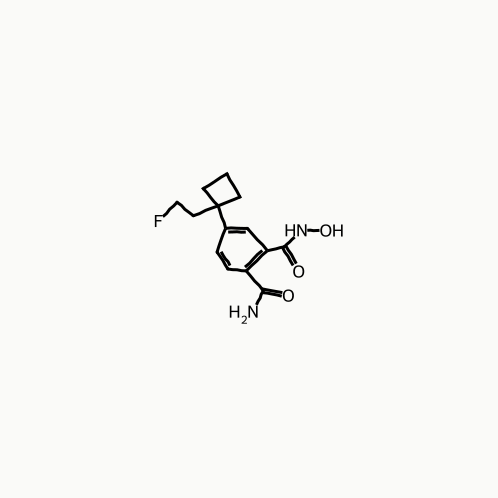 NC(=O)c1ccc(C2(CCF)CCC2)cc1C(=O)NO